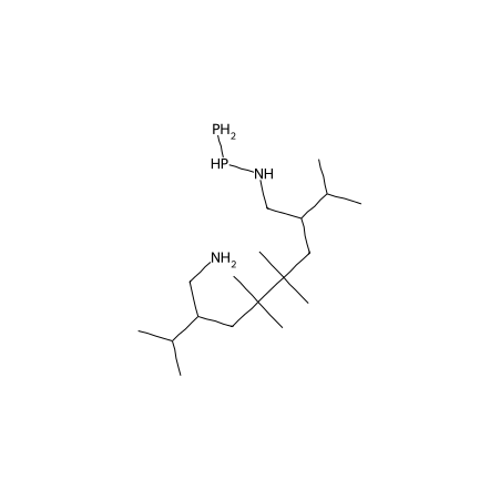 CC(C)C(CN)CC(C)(C)C(C)(C)CC(CNPP)C(C)C